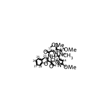 COC[C@H](NC(=O)[C@H](COC)N(C)C(=O)c1cc(OC)no1)C(=O)N[C@@H](Cc1ccccc1)C(=O)C1(C)CO1